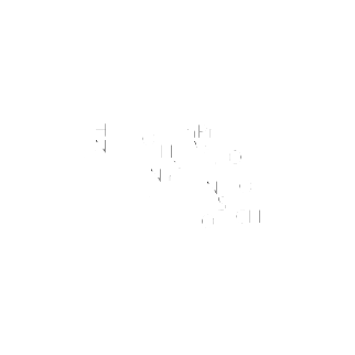 CCC[C@H]1C(=O)N(S(C)(=O)=O)C2=CCN(C(=O)c3ccc[nH]3)[C@@H]21